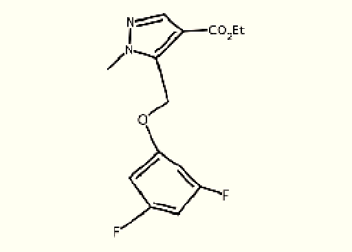 CCOC(=O)c1cnn(C)c1COc1cc(F)cc(F)c1